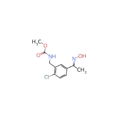 COC(=O)NCc1cc(C(C)=NO)ccc1Cl